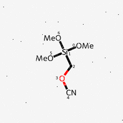 CO[Si](COC#N)(OC)OC